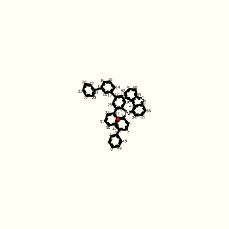 c1ccc(-c2ccc(N(c3ccc(-c4cccc(-c5ccccc5)c4)cc3-c3ccccc3)c3cccc4sc5ccccc5c34)cc2)cc1